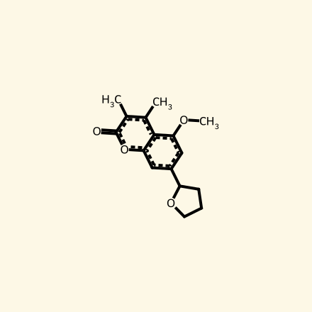 COc1cc(C2CCCO2)cc2oc(=O)c(C)c(C)c12